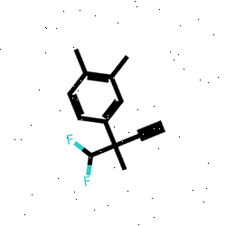 C#CC(C)(c1ccc(C)c(C)c1)C(F)F